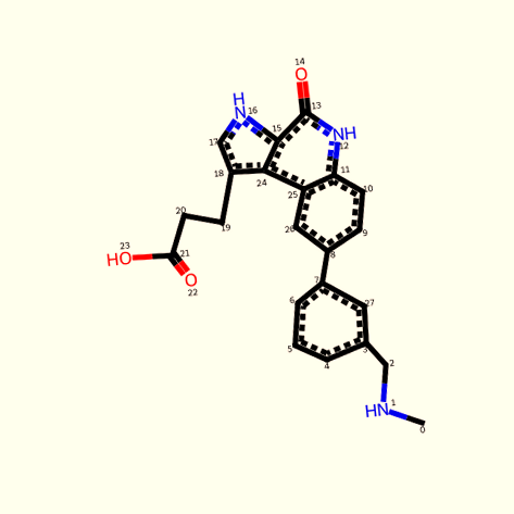 CNCc1cccc(-c2ccc3[nH]c(=O)c4[nH]cc(CCC(=O)O)c4c3c2)c1